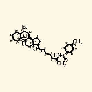 C=C(CCCCCC1CCC2C3C[C@H](CC)C4CCCCC4(C)[C@H]3CCC12C)N[S+]([O-])c1ccc(C)cc1